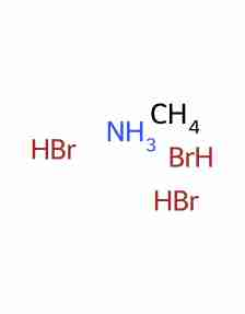 Br.Br.Br.C.N